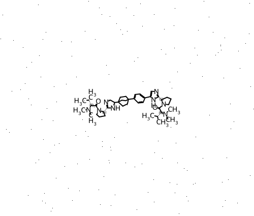 CC(C)[C@H](C(=O)N1CCC[C@H]1C1=NCC(C23CCC(c4ccc(-c5cnc([C@@H]6CCCN6C(=O)[C@@H](C(C)C)N(C)C)[nH]5)cc4)(CC2)CC3)N1)N(C)C